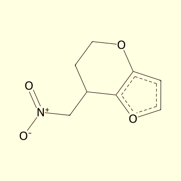 O=[N+]([O-])CC1CCOc2ccoc21